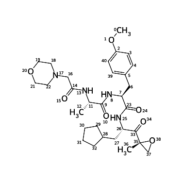 COc1ccc(C[C@H](NC(=O)[C@H](C)NC(=O)CN2CCOCC2)C(=O)N[C@@H](CC2CCCC2)C(=O)[C@@]2(C)CO2)cc1